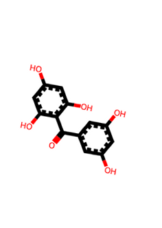 O=C(c1cc(O)cc(O)c1)c1c(O)cc(O)cc1O